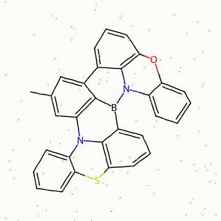 Cc1cc2c3c(c1)N1c4ccccc4Sc4cccc(c41)B3N1c3ccccc3Oc3cccc-2c31